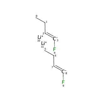 CCC=[C-]F.CCC=[C-]F.[Li+].[Li+]